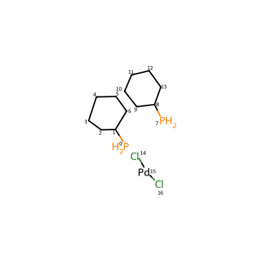 PC1CCCCC1.PC1CCCCC1.[Cl][Pd][Cl]